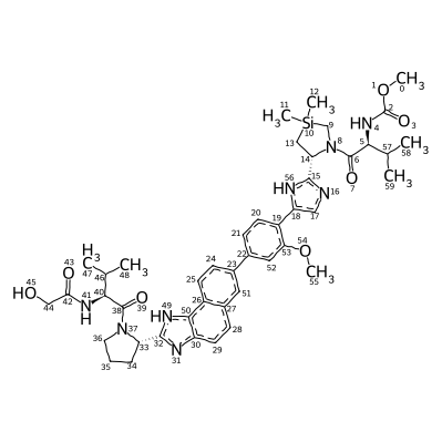 COC(=O)N[C@H](C(=O)N1C[Si](C)(C)C[C@H]1c1ncc(-c2ccc(-c3ccc4c(ccc5nc([C@@H]6CCCN6C(=O)[C@@H](NC(=O)CO)C(C)C)[nH]c54)c3)cc2OC)[nH]1)C(C)C